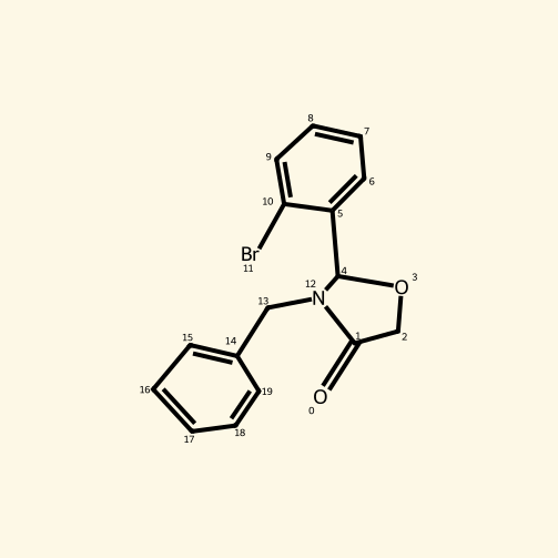 O=C1COC(c2ccccc2Br)N1Cc1ccccc1